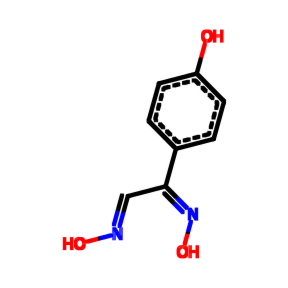 ON=CC(=NO)c1ccc(O)cc1